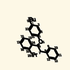 CCC(C)c1ccc(O[C](Cc2ccccc2)c2ccccc2C(C)C)cc1